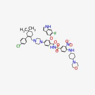 CC1(C)CCC(CN2CCN(c3ccc(C(=O)NS(=O)(=O)c4ccc(N[C@H]5CC[C@H](N6CCOCC6)CC5)c([N+](=O)[O-])c4)c(Oc4cc5cc[nH]c5cc4F)c3)CC2)=C(c2ccc(Cl)cc2)C1